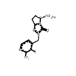 O=C(O)[C@@H]1CCc2nn(Cc3ccnc(C(F)(F)F)c3F)c(=O)n21